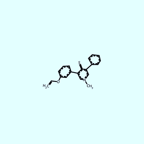 C=COc1cccc(-c2cn(C)cc(-c3ccccc3)c2=S)c1